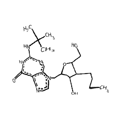 CCCC1C(CO)OC(n2cnc3c(=O)[nH]c(NC(C)(C)C)nc32)C1O